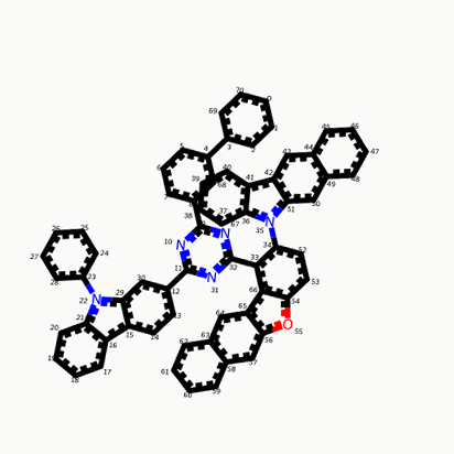 c1ccc(-c2cccc(-c3nc(-c4ccc5c6ccccc6n(-c6ccccc6)c5c4)nc(-c4c(-n5c6ccccc6c6cc7ccccc7cc65)ccc5oc6cc7ccccc7cc6c45)n3)c2)cc1